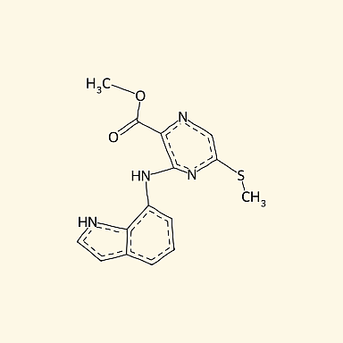 COC(=O)c1ncc(SC)nc1Nc1cccc2cc[nH]c12